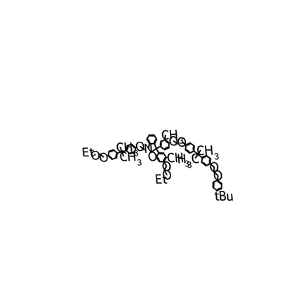 CCOCOc1ccc(C(C)(C)c2ccc(OCN3C(=O)C(c4ccc(OCOCC)c(C)c4)(c4ccc(OCOc5ccc(C(C)(C)c6ccc(OCOc7ccc(C(C)(C)C)cc7)cc6)cc5)c(C)c4)c4ccccc43)cc2)cc1